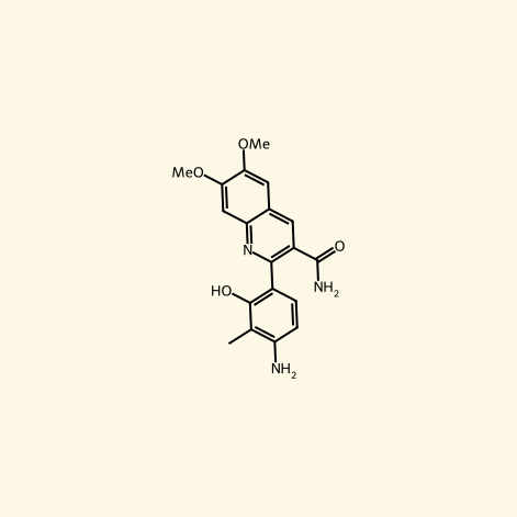 COc1cc2cc(C(N)=O)c(-c3ccc(N)c(C)c3O)nc2cc1OC